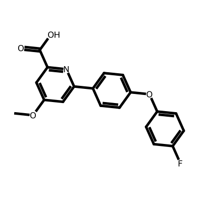 COc1cc(C(=O)O)nc(-c2ccc(Oc3ccc(F)cc3)cc2)c1